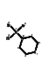 Br[Si](Br)(Br)N1CCSCC1